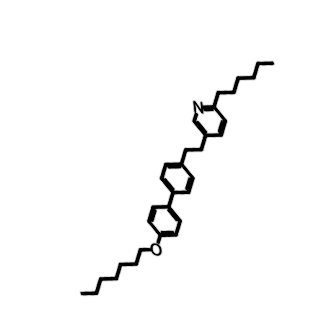 CCCCCCCOc1ccc(-c2ccc(CCc3ccc(CCCCCC)nc3)cc2)cc1